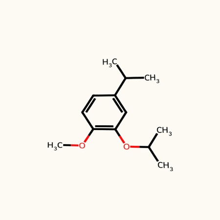 COc1ccc(C(C)C)cc1OC(C)C